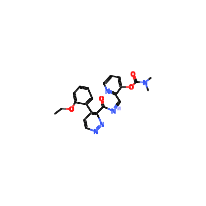 CCOc1ccccc1-c1ccnnc1C(=O)/N=C\c1ncccc1OC(=O)N(C)C